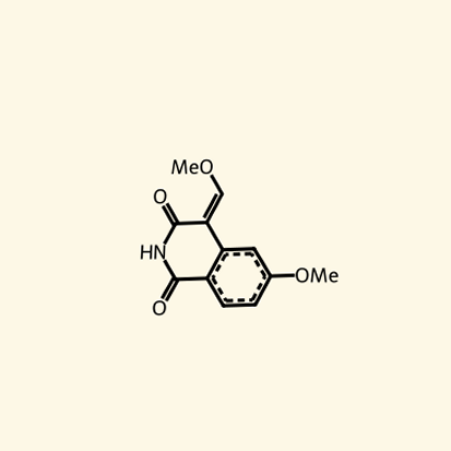 COC=C1C(=O)NC(=O)c2ccc(OC)cc21